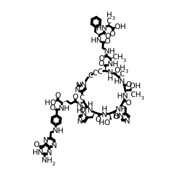 C[C@H](NC(=O)[C@H](Cc1ccccc1)NC(=O)CNC(=O)[C@H](C)NC(=O)[C@@H]1CCCCn2cc(nn2)C[C@H](NC(=O)CC[C@H](NC(=O)c2ccc(NCc3cnc4nc(N)[nH]c(=O)c4n3)cc2)C(=O)O)C(=O)N[C@H](Cc2cnc[nH]2)C(=O)N[C@H](CO)C(=O)N[C@H](Cc2cnc[nH]2)C(=O)N[C@H]([C@H](C)O)C(=O)N[C@H](C)C(=O)N1)C(=O)O